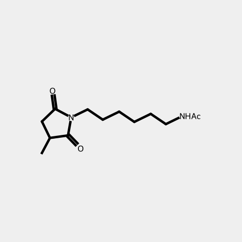 CC(=O)NCCCCCCN1C(=O)CC(C)C1=O